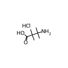 CC(C)(N)C(C)(C)C(=O)O.Cl